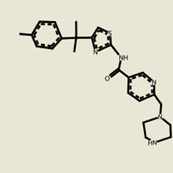 Cc1ccc(C(C)(C)c2csc(NC(=O)c3ccc(CN4CCNCC4)nc3)n2)cc1